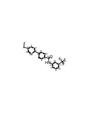 CCc1ccc(-c2ccc(C(=O)Nc3cccc(C(F)(F)F)c3)cc2)nc1